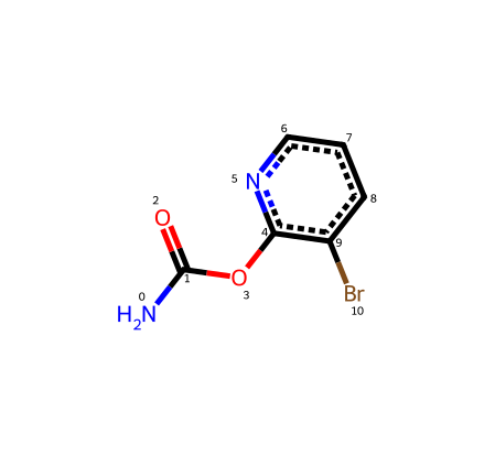 NC(=O)Oc1ncccc1Br